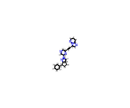 C(#Cc1cnc2cccnn12)c1cncc(-n2cc3c(n2)C(c2ccccc2)CC3)n1